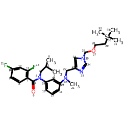 CC(C)CN(C(=O)c1ccc(F)cc1F)c1cccc(N(C)Cc2cn(COCC[Si](C)(C)C)cn2)c1